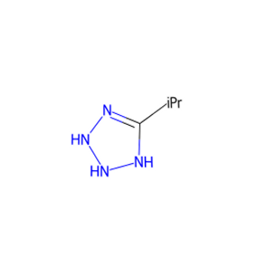 CC(C)C1=NNNN1